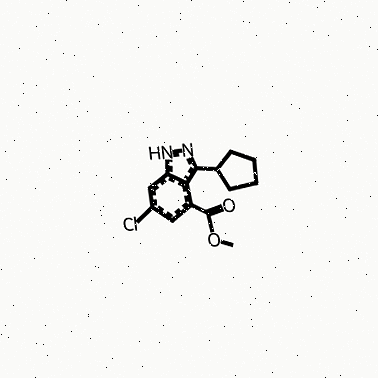 COC(=O)c1cc(Cl)cc2[nH]nc(C3CCCC3)c12